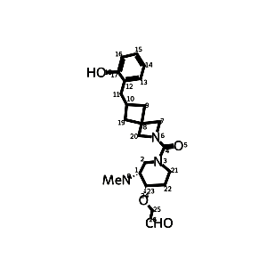 CN[C@@H]1CN(C(=O)N2CC3(CC(Cc4ccccc4O)C3)C2)CC[C@@H]1OCC=O